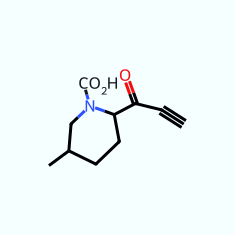 C#CC(=O)C1CCC(C)CN1C(=O)O